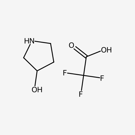 O=C(O)C(F)(F)F.OC1CCNC1